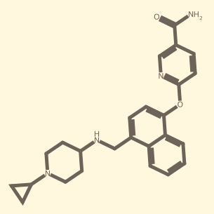 NC(=O)c1ccc(Oc2ccc(CNC3CCN(C4CC4)CC3)c3ccccc23)nc1